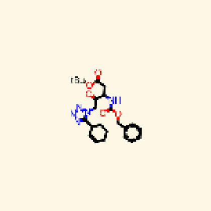 CC(C)(C)OC(=O)CC(NC(=O)OCc1ccccc1)C(=O)Cn1nnnc1C1C=CCCC1